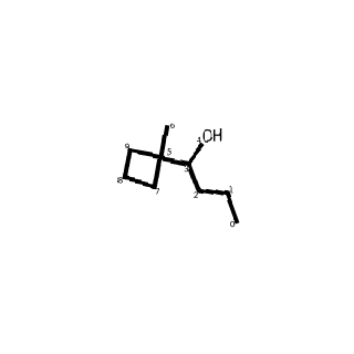 CCCC(O)C1(C)CCC1